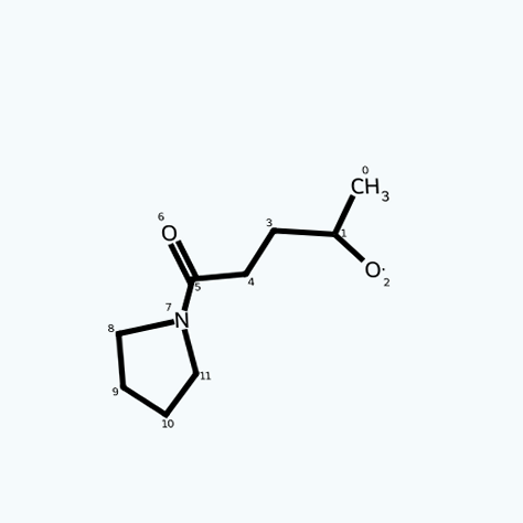 CC([O])CCC(=O)N1CCCC1